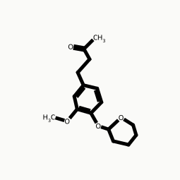 COc1cc(CCC(C)=O)ccc1OC1CCCCO1